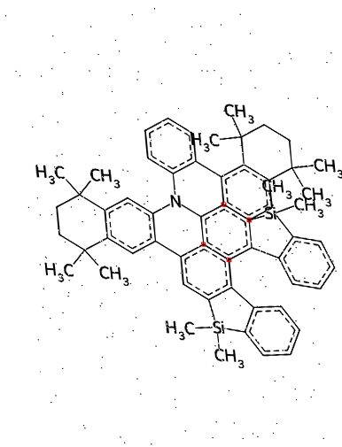 CC1(C)CCC(C)(C)c2cc(N(c3ccc4c(c3)[Si](C)(C)c3ccccc3-4)c3ccccc3-c3cccc4c3C(C)(C)CCC4(C)C)c(-c3ccc4c(c3)[Si](C)(C)c3ccccc3-4)cc21